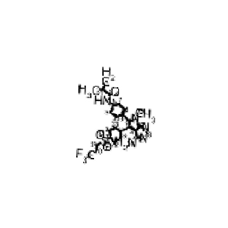 C=C(C)C(=O)Nc1ccc(-c2c(-c3ccc(S(=O)(=O)CCC(F)(F)F)cc3)c3c(N)ncnc3n2C)cc1